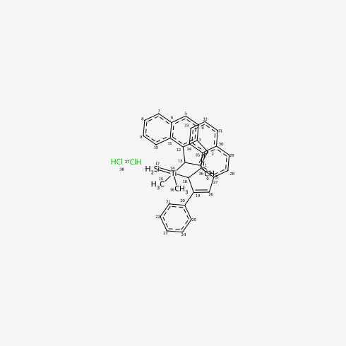 CC1=Cc2ccc3ccccc3c2[CH]1[Ti]([CH3])([CH3])(=[SiH2])[CH]1C(c2ccccc2)=Cc2ccc3ccccc3c21.Cl.Cl